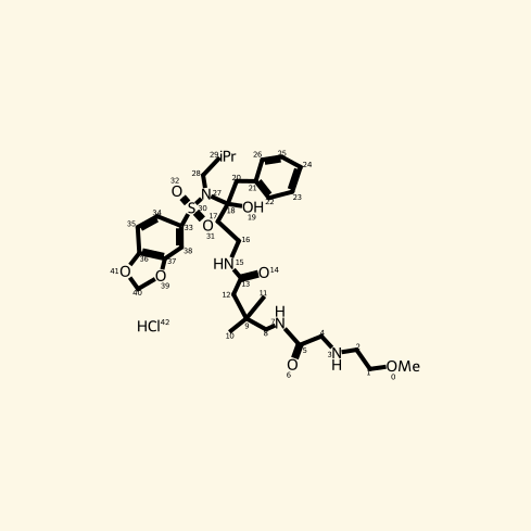 COCCNCC(=O)NCC(C)(C)CC(=O)NCCC(O)(Cc1ccccc1)N(CC(C)C)S(=O)(=O)c1ccc2c(c1)OCO2.Cl